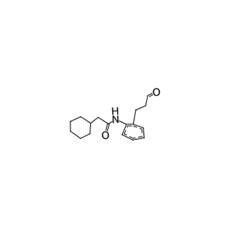 O=CCCc1ccccc1NC(=O)CC1CCCCC1